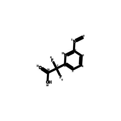 C=Nc1cccc(C(F)(F)C(=O)O)n1